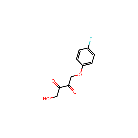 O=C(CO)C(=O)COc1ccc(F)cc1